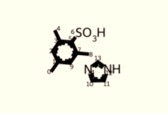 Cc1cc(C)c(S(=O)(=O)O)c(C)c1.c1c[nH]cn1